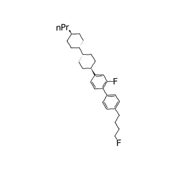 CCC[C@H]1CC[C@H]([C@H]2CC[C@H](c3ccc(-c4ccc(CCCCF)cc4)c(F)c3)CC2)CC1